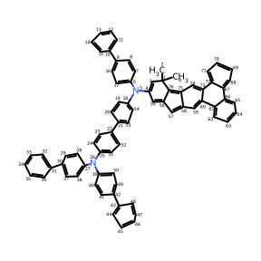 CC1(C)C=C(N(c2ccc(-c3ccccc3)cc2)c2ccc(-c3ccc(N(c4ccc(-c5ccccc5)cc4)c4ccc(-c5ccccc5)cc4)cc3)cc2)C=C2C=c3cc4c5ccccc5c5ccccc5c4cc3=C21